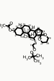 CC(=O)O[C@@H]1CC[C@]2(C)C3=CC(SCOOC(C)(C)C)[C@@]4(C)[C@@H](CCC45OCCCO5)[C@@H]3CC[C@@H]2C1